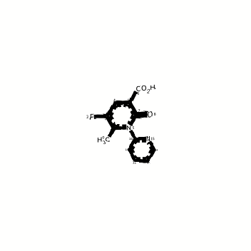 Cc1c(F)cc(C(=O)O)c(=O)n1-c1ccccn1